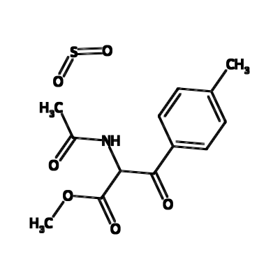 COC(=O)C(NC(C)=O)C(=O)c1ccc(C)cc1.O=S=O